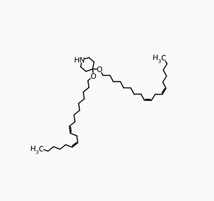 CCCCC/C=C\C/C=C\CCCCCCCCOC1(OCCCCCCCC/C=C\C/C=C\CCCCC)CCNCC1